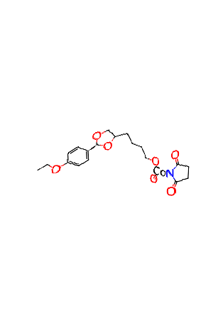 CCOc1ccc(C2OCC(CCCC[O][Co](=[O])[N]3C(=O)CCC3=O)O2)cc1